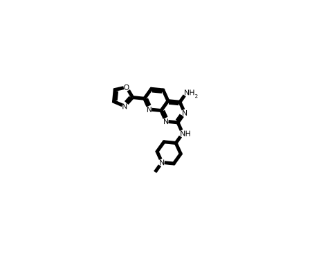 CN1CCC(Nc2nc(N)c3ccc(-c4ncco4)nc3n2)CC1